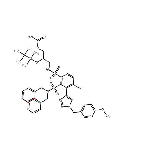 COc1ccc(Cn2nnc(-c3c(Br)ccc(S(=O)(=O)NCC(COC(N)=O)O[Si](C)(C)C(C)(C)C)c3S(=O)(=O)N(Cc3ccccc3)Cc3ccccc3)n2)cc1